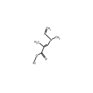 C=NN(C)/C=C(\C)C(=O)OCC